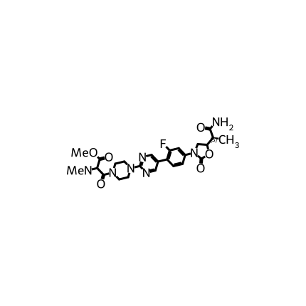 CNC(C(=O)OC)C(=O)N1CCN(c2ncc(-c3ccc(N4CC([C@H](C)C(N)=O)OC4=O)cc3F)cn2)CC1